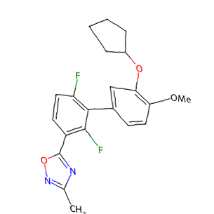 COc1ccc(-c2c(F)ccc(-c3nc(C)no3)c2F)cc1OC1CCCC1